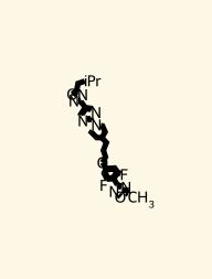 Cc1nc(-c2c(F)cc(OCCCC3CCN(c4ncc(-c5noc(CC(C)C)n5)cn4)CC3)cc2F)no1